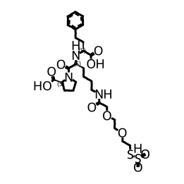 O=C(COCCOCCS[SH](=O)=O)NCCCC[C@H](N[C@@H](CCc1ccccc1)C(=O)O)C(=O)N1CCC[C@H]1C(=O)O